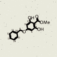 COC(=O)c1c(O)cc(OCc2ccccc2)cc1O